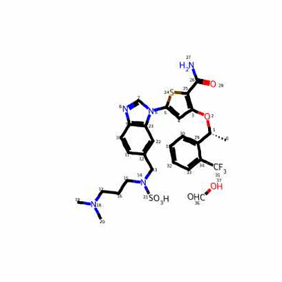 C[C@@H](Oc1cc(-n2cnc3ccc(CN(CCCN(C)C)S(=O)(=O)O)cc32)sc1C(N)=O)c1ccccc1C(F)(F)F.O=CO